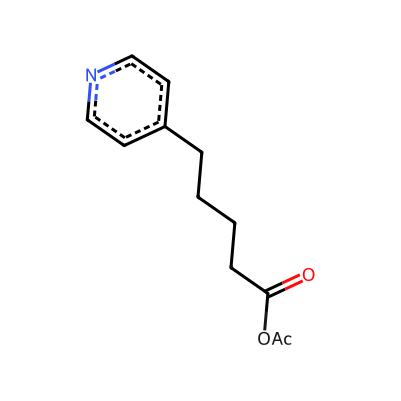 CC(=O)OC(=O)CCCCc1ccncc1